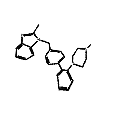 Cc1nc2ccccc2n1Cc1ccc(-c2ccccc2N2CCN(C)CC2)cc1